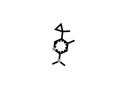 Cc1cc(N(C)C)ncc1C1(C)CC1